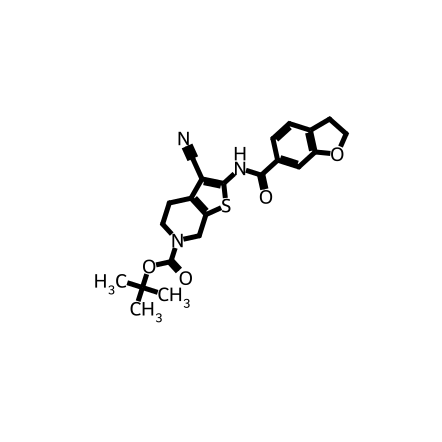 CC(C)(C)OC(=O)N1CCc2c(sc(NC(=O)c3ccc4c(c3)OCC4)c2C#N)C1